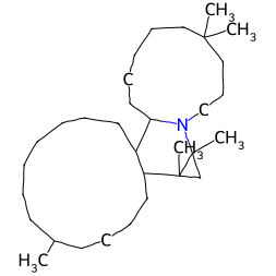 CC1CCCCCCCC2C3CCCCCC(C)(C)CCCN3C3(C)CC3(C)C2CCCC1